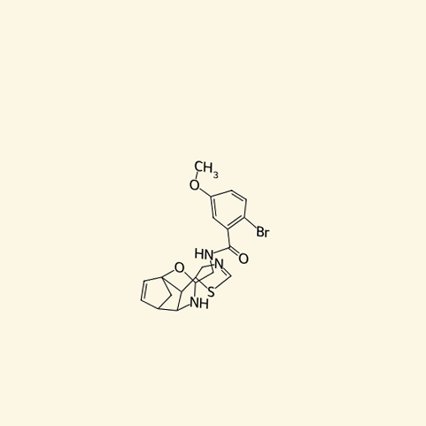 COc1ccc(Br)c(C(=O)NCC2NC3C4C=CC(C4)(O2)C3C2CN=CS2)c1